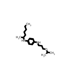 CCCCCC(C)Nc1ccc(NCCCOC(C)C)cc1